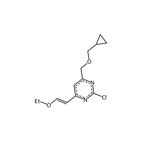 CCOC=Cc1cc(COCC2CC2)nc(Cl)n1